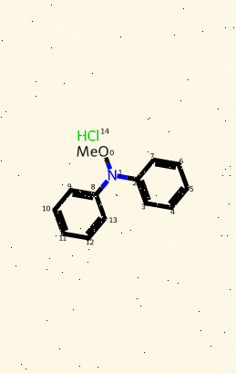 CON(c1ccccc1)c1ccccc1.Cl